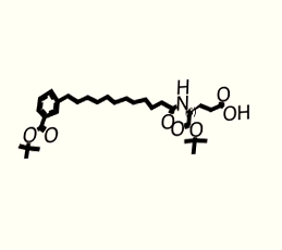 CC(C)(C)OC(=O)c1cccc(CCCCCCCCCCCC(=O)N[C@@H](CCC(=O)O)C(=O)OC(C)(C)C)c1